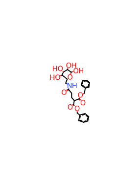 O=C(CCC(C(=O)OCc1ccccc1)C(=O)OCc1ccccc1)NCC1OC(O)C(O)C(O)C1O